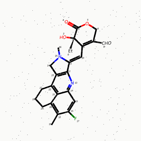 CC[C@@]1(O)C(=O)OCC(C=O)=C1/C=C1/c2nc3cc(F)c(C)c4c3c(c2CN1C)CCC4